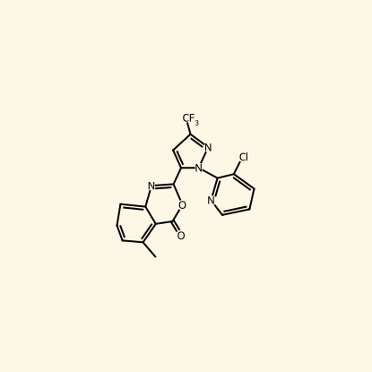 Cc1cccc2nc(-c3cc(C(F)(F)F)nn3-c3ncccc3Cl)oc(=O)c12